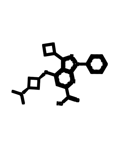 CN(C)[C@H]1C[C@@H](Oc2cc(C(=O)O)nc3c2c(C2CCC2)nn3-c2ccccc2)C1